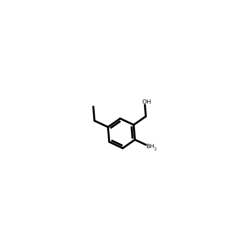 Bc1ccc(CC)cc1CO